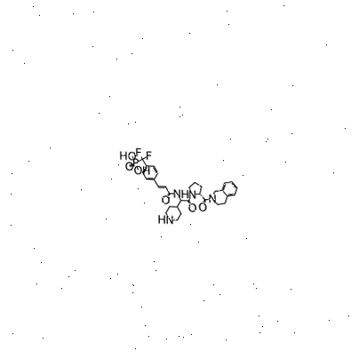 O=C(/C=C/c1ccc(C(F)(F)P(=O)(O)O)cc1)NC(C(=O)N1CCC[C@H]1C(=O)N1CCc2ccccc2C1)C1CCNCC1